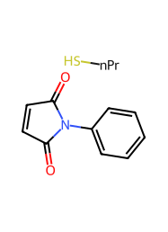 CCCS.O=C1C=CC(=O)N1c1ccccc1